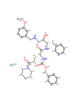 COc1cccc(CNC[C@@H](O)[C@H](Cc2ccccc2)NC(=O)[C@@H](CCC(=O)N2CCCCC2)NC(=O)OCc2ccccc2)c1.Cl